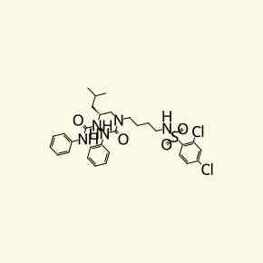 CC(C)C[C@@H](CN(CCCCNS(=O)(=O)c1ccc(Cl)cc1Cl)C(=O)Nc1ccccc1)NC(=O)Nc1ccccc1